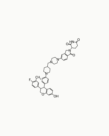 Cc1cc(C2COc3cc(O)ccc3C2c2ccc(N3CCC(CN4CCN(c5ccc6c(c5)CN(C5CCC(=O)NC5=O)C6=O)CC4)CC3)cc2)ccc1F